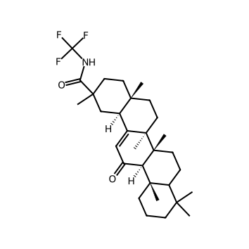 CC1(C(=O)NC(F)(F)F)CC[C@]2(C)CC[C@]3(C)C(=CC(=O)[C@@H]4[C@@]5(C)CCCC(C)(C)C5CC[C@]43C)[C@H]2C1